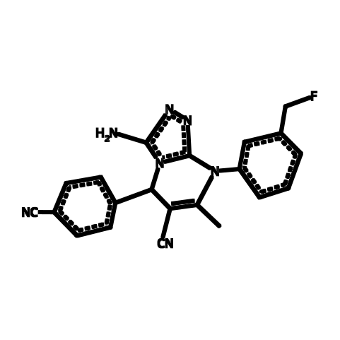 CC1=C(C#N)C(c2ccc(C#N)cc2)n2c(N)nnc2N1c1cccc(CF)c1